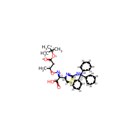 CC(CC(=O)OC(C)(C)C)ON=C(C(=O)O)c1csc(NC(c2ccccc2)(c2ccccc2)c2ccccc2)n1